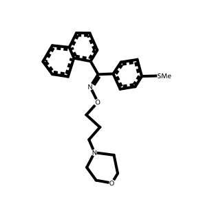 CSc1ccc(C(=NOCCCN2CCOCC2)c2cccc3ccccc23)cc1